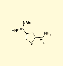 CNC(=N)C1=CSC([C@@H](C)N)C1